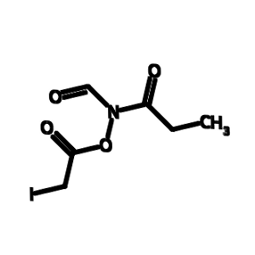 CCC(=O)N(C=O)OC(=O)CI